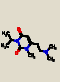 CC(C)n1c(=O)cc(CCN(C)C)n(C)c1=O